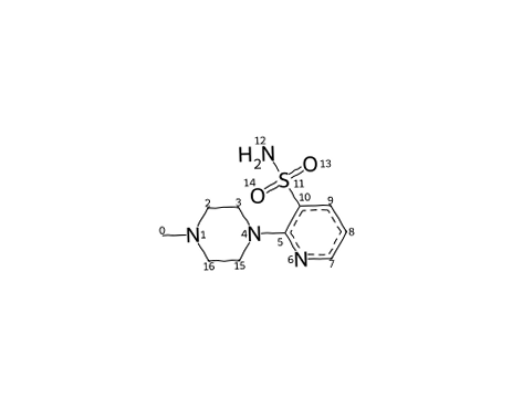 CN1CCN(c2ncccc2S(N)(=O)=O)CC1